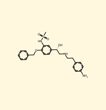 CS(=O)(=O)Nc1cc([C@H](O)CNCCc2ccc(N)cc2)ccc1OCc1ccccc1